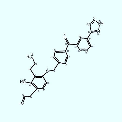 CCCc1c(OCc2ccc(C(=O)c3cncc(-c4nn[nH]n4)c3)cc2)ccc(CC=O)c1O